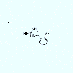 CC(=O)c1ccccc1CNC(=N)N